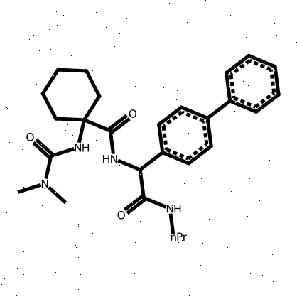 CCCNC(=O)C(NC(=O)C1(NC(=O)N(C)C)CCCCC1)c1ccc(-c2ccccc2)cc1